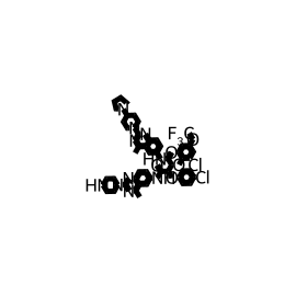 Cc1nc(N2CCNCC2)nc2ccc(NC(=O)C(Oc3ccc(Cl)cc3)C(Oc3ccc(OC(F)(F)F)cc3Cl)C(=O)Nc3ccc4nc(N5CCC(N6CCCC6)CC5)nc(C)c4c3)cc12